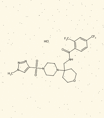 Cl.Cn1cc(S(=O)(=O)N2CCN(C3(CNC(=O)c4ccc(C(F)(F)F)cc4C(F)(F)F)CCOCC3)CC2)nn1